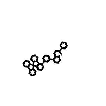 c1ccc(-c2ccc3c(-c4cccc(-c5cccc6c5-c5ccccc5C65c6ccccc6-c6ccccc65)c4)cccc3n2)cc1